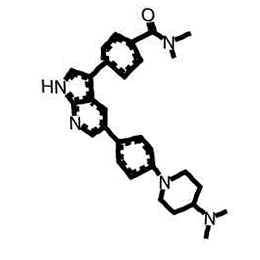 CN(C)C(=O)c1ccc(-c2c[nH]c3ncc(-c4ccc(N5CCC(N(C)C)CC5)cc4)cc23)cc1